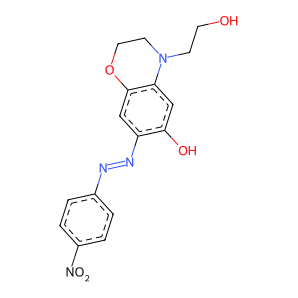 O=[N+]([O-])c1ccc(N=Nc2cc3c(cc2O)N(CCO)CCO3)cc1